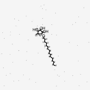 CCCCCCCCCCCCCCCCO[C@@H]1OC(C)[C@H](O)C(O)C1O